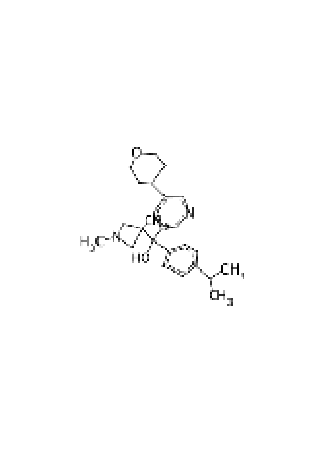 CC(C)c1ccc(C(O)(c2cncc(C3CCOCC3)c2)C2(C)CN(C)C2)cc1